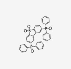 O=P(c1ccccc1)(c1ccccc1)c1ccc2c(c1)-c1cc(P(=O)(c3ccccc3)c3ccccc3)ccc1S2(=O)=O